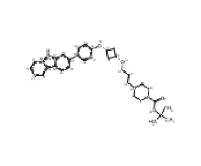 CC(C)(C)OC(=O)N1CCN(CCCO[C@H]2C[C@@H](Oc3ccc(-c4ccc5c(c4)[nH]c4ccncc45)cn3)C2)CC1